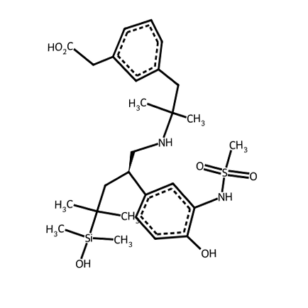 CC(C)(Cc1cccc(CC(=O)O)c1)NC[C@H](CC(C)(C)[Si](C)(C)O)c1ccc(O)c(NS(C)(=O)=O)c1